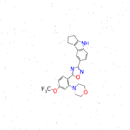 FC(F)(F)Oc1ccc(-c2nc(-c3ccc4[nH]c5c(c4c3)CC[CH]5)no2)c(N2CCOCC2)c1